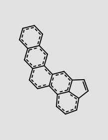 C1=Cc2cc3c4cc5ccccc5cc4ccc3c3cccc1c23